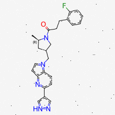 C[C@@H]1CC(Cn2ccc3nc(-c4cn[nH]c4)ccc32)CN1C(=O)CCc1ccccc1F